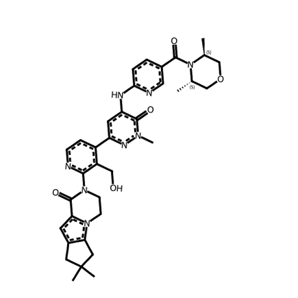 C[C@H]1COC[C@H](C)N1C(=O)c1ccc(Nc2cc(-c3ccnc(N4CCn5c(cc6c5CC(C)(C)C6)C4=O)c3CO)nn(C)c2=O)nc1